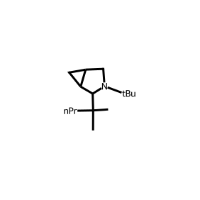 CCCC(C)(C)C1C2CC2CN1C(C)(C)C